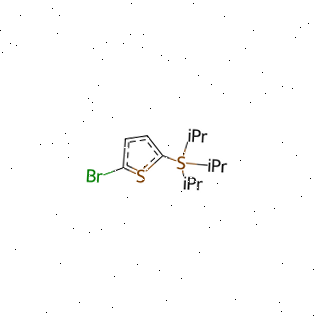 CC(C)S(c1ccc(Br)s1)(C(C)C)C(C)C